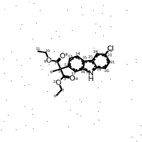 CCOC(=O)C(C)(C(=O)OCC)c1ccc2c(c1)[nH]c1ccc(Cl)cc12